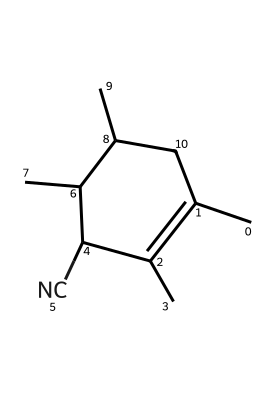 CC1=C(C)C(C#N)C(C)C(C)C1